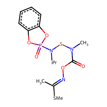 CSC(C)=NOC(=O)N(C)SN(C(C)C)P1(=O)Oc2ccccc2O1